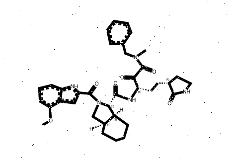 COc1cccc2[nH]c(C(=O)N3C[C@@H]4CCCC[C@@H]4[C@H]3C(=O)N[C@@H](CC[C@@H]3CCNC3=O)C(=O)C(=O)N(C)Cc3ccccc3)cc12